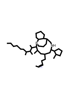 C/C=C\CCC1CC(C)C(C(C)C(C)C(C)CCCCCC)B2CCCC(CNC(C3CCCC3C)C1)C1CCCCC21